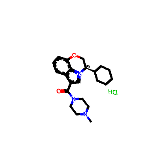 CN1CCN(C(=O)c2cn3c4c(cccc24)OC[C@H]3C2CCCCC2)CC1.Cl